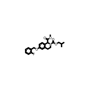 COC(=O)C1c2ccc(OCc3ccccc3F)cc2CCN1C(=O)OCC(C)C